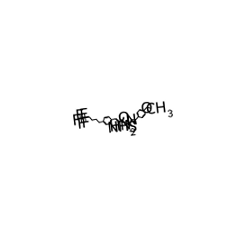 COc1ccc(-c2csc(NC(=O)C=Cc3ccc(CCCCC(F)(F)C(F)(F)F)cc3N)n2)cc1